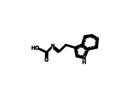 O=C(O)/N=C/Cc1c[nH]c2ccccc12